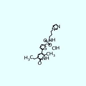 CCc1cc(-c2ccc(S(=O)(=O)NCCCn3ccnc3)s2)c(C)[nH]c1=O.Cl